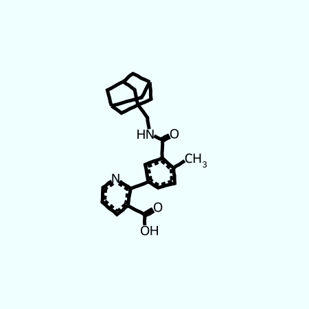 Cc1ccc(-c2ncccc2C(=O)O)cc1C(=O)NCC12CC3CC(CC(C3)C1)C2